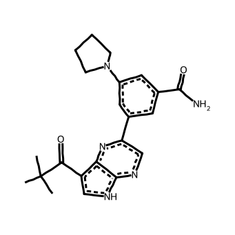 CC(C)(C)C(=O)c1c[nH]c2ncc(-c3cc(C(N)=O)cc(N4CCCC4)c3)nc12